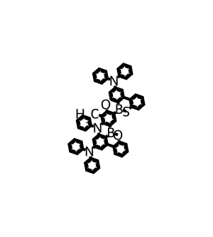 Cc1c2c(cc3c1N(c1ccccc1)c1cc(N(c4ccccc4)c4ccccc4)cc4c1B3Oc1ccccc1-4)B1Sc3ccccc3-c3cc(N(c4ccccc4)c4ccccc4)cc(c31)O2